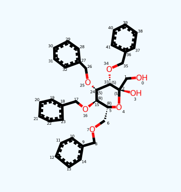 OC[C@]1(O)O[C@H](COCc2ccccc2)[C@@H](OCc2ccccc2)[C@H](OCc2ccccc2)[C@@H]1OCc1ccccc1